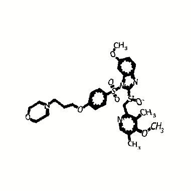 COc1ccc2nc([S+]([O-])Cc3ncc(C)c(OC)c3C)n(S(=O)(=O)c3ccc(OCCCN4CCOCC4)cc3)c2c1